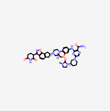 CN1CCN([C@@H]2CCCN(c3cnc(C(N)=O)c(Nc4ccc5c(c4)OC[C@H]4CN([C@H]6Cc7ccc8c(C9CCC(=O)NC9=O)noc8c7C6)CCN54)n3)C2)C1=O